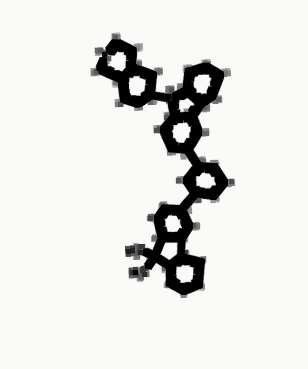 CC1(C)c2ccccc2-c2cc(-c3cccc(-c4ccc5c(c4)c4ccccc4n5-c4ccc5ccccc5c4)c3)ccc21